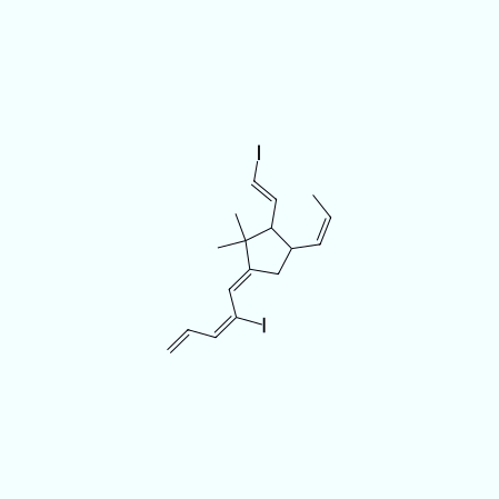 C=C/C=C(I)\C=C1/CC(/C=C\C)C(/C=C/I)C1(C)C